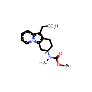 CN(C(=O)OC(C)(C)C)[C@@H]1CCc2c(CC(=O)O)c3ccccn3c2C1